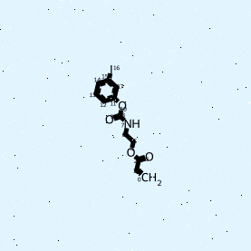 C=CC(=O)OCCNC(=O)Oc1cccc(I)c1